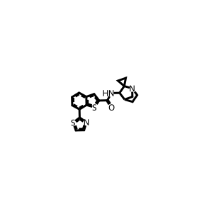 O=C(NC1C2CCN(C2)C12CC2)c1cc2cccc(-c3nccs3)c2s1